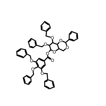 O=C(OC1OC2COC(c3ccccc3)OC2C(OCc2ccccc2)C1OCc1ccccc1)c1cc(OCc2ccccc2)c(OCc2ccccc2)c(OCc2ccccc2)c1